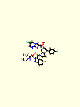 CN[C@@H](C)C(=O)N[C@H](C(=O)N1CCC[C@H]1CN(CCc1ccc(F)cc1)C(=O)C1CN2C=C(F)C=NC2=N1)C1CCCCC1